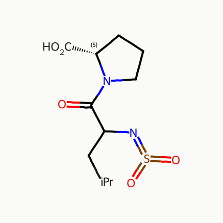 CC(C)CC(N=S(=O)=O)C(=O)N1CCC[C@H]1C(=O)O